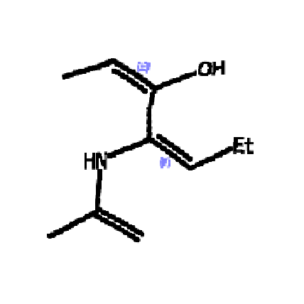 C=C(C)NC(=C/CC)/C(O)=C\C